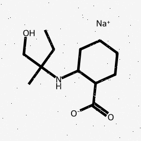 CCC(C)(CO)N[C]1CCCCC1C(=O)[O-].[Na+]